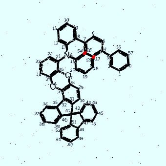 c1ccc(-c2ccc(-c3ccccc3N(c3ccccc3)c3cccc4c3Oc3ccc5c(c3O4)-c3ccccc3C53c4ccccc4-c4ccccc43)cc2)cc1